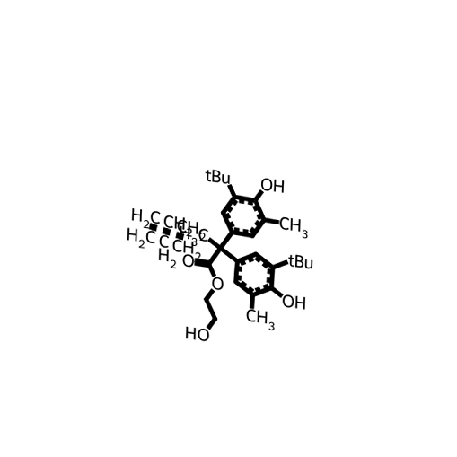 C=C.C=C.C=C.Cc1cc(C(C)(C(=O)OCCO)c2cc(C)c(O)c(C(C)(C)C)c2)cc(C(C)(C)C)c1O